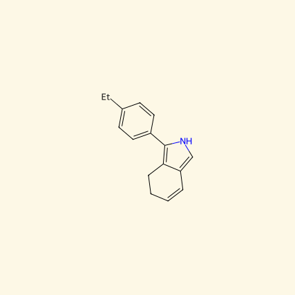 CCc1ccc(-c2[nH]cc3c2CCC=C3)cc1